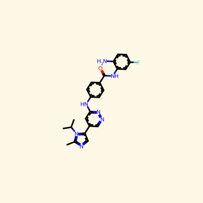 Cc1ncc(-c2cnnc(Nc3ccc(C(=O)Nc4cc(F)ccc4N)cc3)c2)n1C(C)C